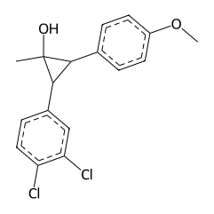 COc1ccc(C2C(c3ccc(Cl)c(Cl)c3)C2(C)O)cc1